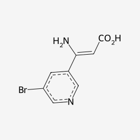 NC(=CC(=O)O)c1cncc(Br)c1